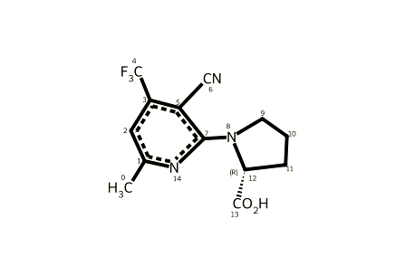 Cc1cc(C(F)(F)F)c(C#N)c(N2CCC[C@@H]2C(=O)O)n1